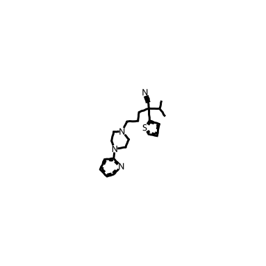 CC(C)C(C#N)(CCCN1CCN(c2ccccn2)CC1)c1cccs1